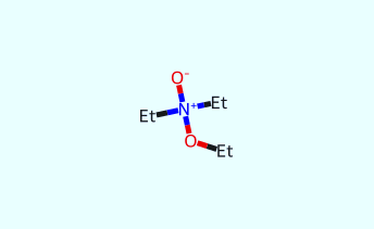 CCO[N+]([O-])(CC)CC